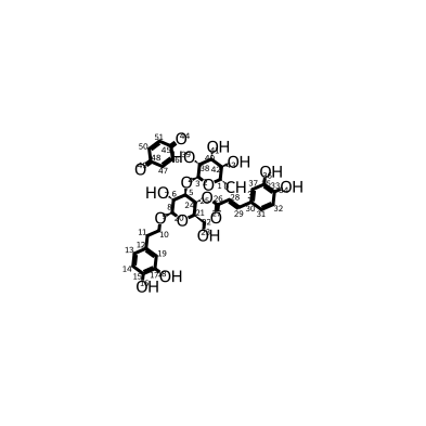 C[C@@H]1O[C@@H](O[C@@H]2[C@@H](O)[C@H](OCCc3ccc(O)c(O)c3)O[C@H](CO)[C@H]2OC(=O)/C=C/c2ccc(O)c(O)c2)[C@H](O)[C@H](O)[C@H]1O.O=C1C=CC(=O)C=C1